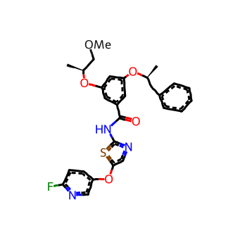 COC[C@H](C)Oc1cc(O[C@@H](C)Cc2ccccc2)cc(C(=O)Nc2ncc(Oc3ccc(F)nc3)s2)c1